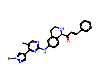 Cc1cnc(Nc2ccc3c(c2)CCNC3C(=O)C=Cc2ccccc2)nc1-c1cnn(C(C)C)c1